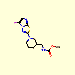 CC(C)(C)OC(=O)NCC1CCCN(c2nn3c(I)cnc3s2)C1